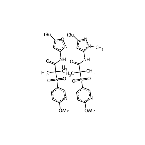 COc1ccc(S(=O)(=O)C(C)(C)C(=O)Nc2cc(C(C)(C)C)nn2C)cn1.COc1ccc(S(=O)(=O)C(C)(C)C(=O)Nc2cc(C(C)(C)C)on2)cn1